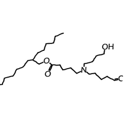 CCCCCCCCC(CCCCCC)COC(=O)CCCCN(CCCCO)CCCCC=O